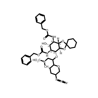 CN(CC(O[C@@H]1[C@@H](NC(=O)OCc2ccccc2)[C@H](O)[C@@H](NC(=O)OCc2ccccc2)[C@@H]2OC3(CCCCC3)O[C@@H]12)C1CCC(N=[N+]=[N-])CO1)C(=O)O